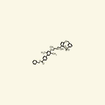 C.Cc1cc(-c2ccc(C(=O)OCc3ccccc3)cc2)c(C)cc1OCCNCC(O)c1ccc2cc1NS(=O)(=O)c1cccc(c1)CO2